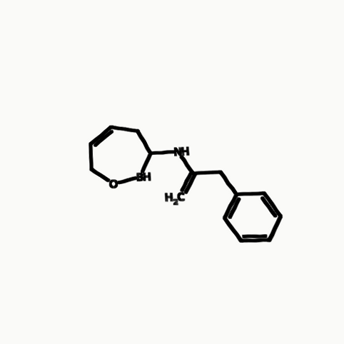 C=C(Cc1ccccc1)NC1BOCC=CC1